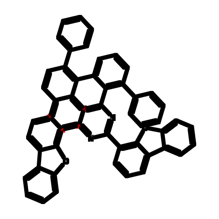 c1ccc(-c2cccc(-c3c(-c4ccccc4)ccc4ccccc34)c2-c2nc(-c3cccc4c3oc3ccccc34)nc(-c3cccc4c3oc3ccccc34)n2)cc1